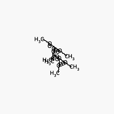 CCCCCCCOC(=O)CCCC(CCCC(=O)OCCCCCCC)OC(=O)OCCN(CCOC(=O)OC(CCCC(=O)OCCCCCC)CCCC(=O)OCCCCCC)CCN(CC)CC